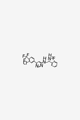 NC(CNc1cc(-c2ccc(C(F)(F)F)c(Cl)c2)ncn1)c1ccccc1F